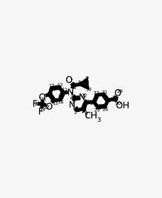 Cc1cnc(N(C(=O)C2CC2)c2ccc3c(c2)OC(F)(F)O3)nc1-c1ccc(C(=O)O)cc1